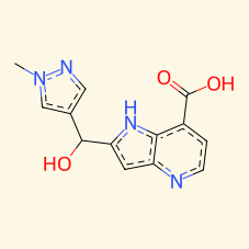 Cn1cc(C(O)c2cc3nccc(C(=O)O)c3[nH]2)cn1